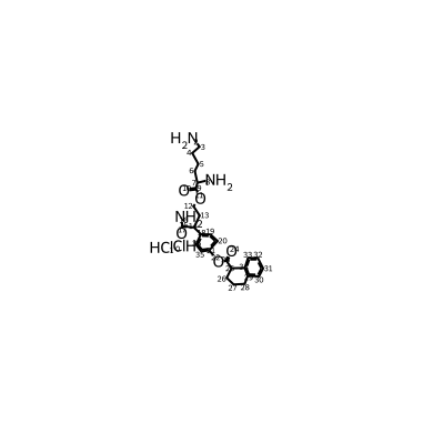 Cl.Cl.NCCCCC(N)C(=O)OCCC(C(N)=O)c1ccc(OC(=O)C2CCCc3ccccc32)cc1